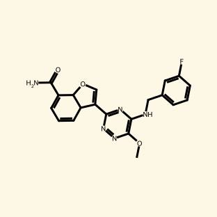 COc1nnc(C2=COC3C(C(N)=O)=CC=CC23)nc1NCc1cccc(F)c1